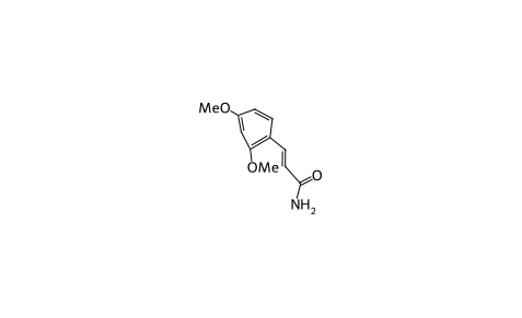 COc1ccc(C=CC(N)=O)c(OC)c1